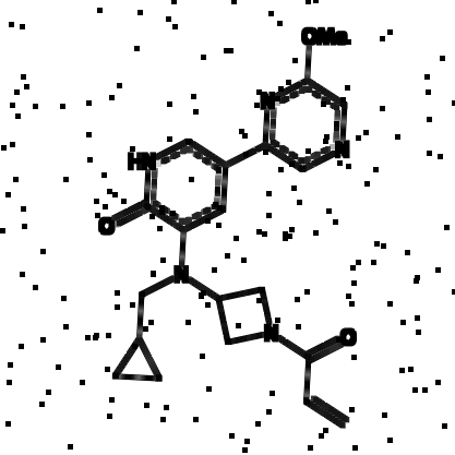 C=CC(=O)N1CC(N(CC2CC2)c2cc(-c3cncc(OC)n3)c[nH]c2=O)C1